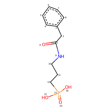 O=C(Cc1ccccc1)NCCCP(=O)(O)O